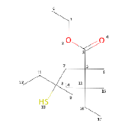 CCOC(=O)C(C)(CC(C)(S)CC)C(C)(C)CC